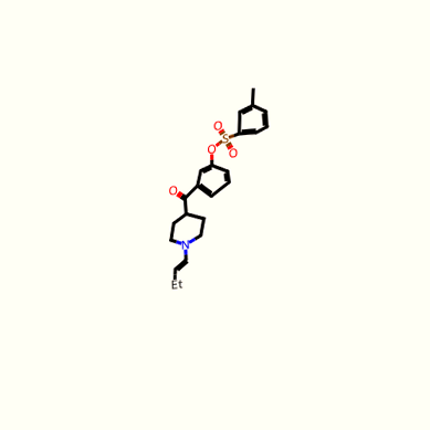 CC/C=C/N1CCC(C(=O)c2cccc(OS(=O)(=O)c3cccc(C)c3)c2)CC1